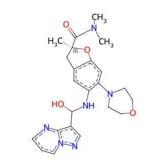 CN(C)C(=O)[C@]1(C)Cc2cc(NC(O)c3cnn4cccnc34)c(N3CCOCC3)cc2O1